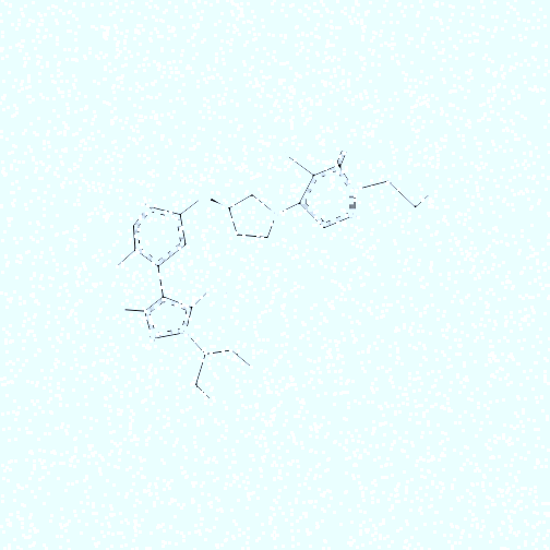 Cc1nn(C(CO)CO)c(C)c1-c1cc(O[C@H]2CN(c3cnn(CCO)c(=O)c3Cl)C[C@@H]2F)ncc1F